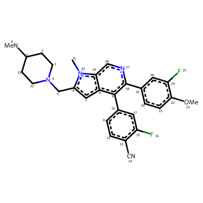 CNC1CCN(Cc2cc3c(-c4ccc(C#N)c(F)c4)c(-c4ccc(OC)c(F)c4)ncc3n2C)CC1